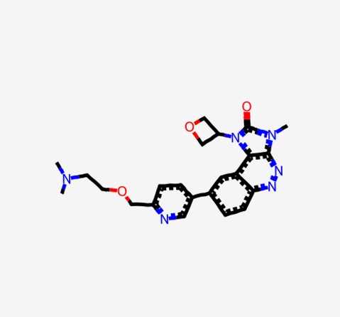 CN(C)CCOCc1ccc(-c2ccc3nnc4c(c3c2)n(C2COC2)c(=O)n4C)cn1